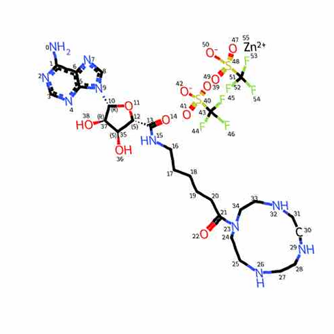 Nc1ncnc2c1ncn2[C@@H]1O[C@H](C(=O)NCCCCCC(=O)N2CCNCCNCCNCC2)[C@@H](O)[C@H]1O.O=S(=O)([O-])C(F)(F)F.O=S(=O)([O-])C(F)(F)F.[Zn+2]